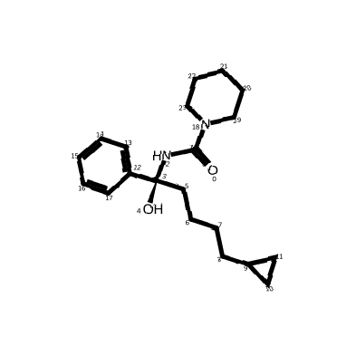 O=C(N[C@](O)(CCCCC1CC1)c1ccccc1)N1CCCCC1